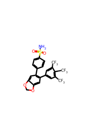 NS(=O)(=O)c1ccc(-c2cc3c(cc2-c2cc(C(F)(F)F)c(C(F)(F)F)c(C(F)(F)F)c2)OCO3)cc1